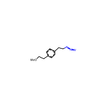 COCCc1ccc(CCN=[N+]=[N-])cc1